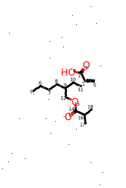 C=CC(=O)O.CCCCC(CC)COC(=O)C(C)C